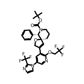 CC(C)(C)OC(=O)N1CCC[C@@]2(C=C(c3cc(-n4ccnc4C(F)(F)F)cnc3OCC(F)(F)F)CO2)[C@@H]1c1ccccc1